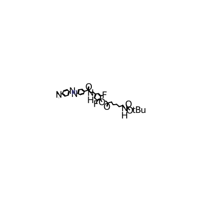 CN(C)c1ccc(/N=N/c2ccc(C(=O)NCc3cc(F)c(OCC(=O)CCCCCNC(=O)OC(C)(C)C)c(F)c3)cc2)cc1